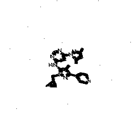 Cc1cc(C)n(-c2cc(Nc3c(C)c(-c4ccncc4)nn3CC3CC3)ncn2)n1